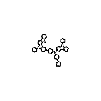 c1ccc(-c2ccc(N(c3ccc(-c4ccc5c(c4)c4c6sc7ccccc7c6ccc4n5-c4ccccc4)cc3)c3ccc4c(c3)c3ccccc3n4-c3ccccc3)cc2)cc1